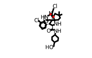 CC1(C)CCC2(CC1)N[C@@H](C(=O)NC1CCC(CO)CC1)[C@H](c1cccc(Cl)c1F)[C@]21C(=O)Nc2nc(Cl)ccc21